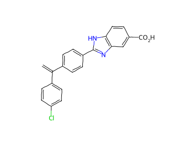 C=C(c1ccc(Cl)cc1)c1ccc(-c2nc3cc(C(=O)O)ccc3[nH]2)cc1